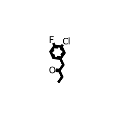 CCC(=O)Cc1ccc(F)c(Cl)c1